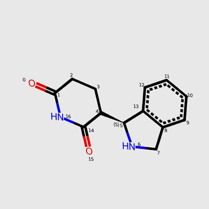 O=C1CCC([C@@H]2NCc3ccccc32)C(=O)N1